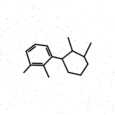 Cc1cccc(C2CCCC(C)C2C)c1C